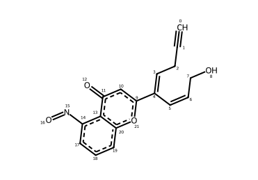 C#CC/C=C(\C=C/CO)c1cc(=O)c2c(N=O)cccc2o1